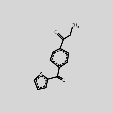 CCC(=O)c1ccc(C(=O)c2cccs2)cc1